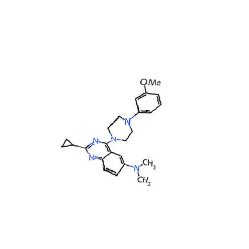 COc1cccc(N2CCN(c3nc(C4CC4)nc4ccc(N(C)C)cc34)CC2)c1